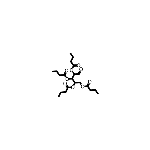 CCCC(=O)OCC(OC(=O)CCC)C(OC(=O)CCC)C(C=O)OC(=O)CCC